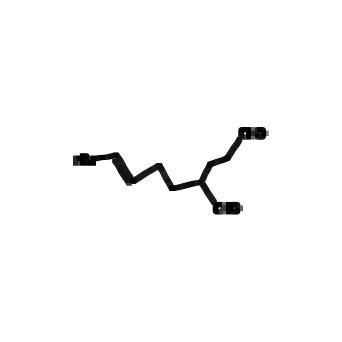 CCCCC=CCCC([C]=O)CC[C]=O